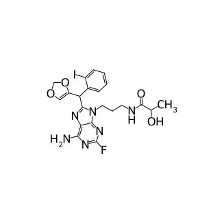 CC(O)C(=O)NCCCn1c(C(C2=COCO2)c2ccccc2I)nc2c(N)nc(F)nc21